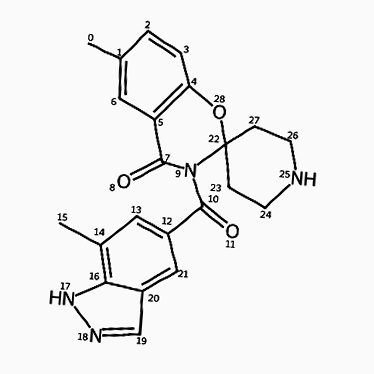 Cc1ccc2c(c1)C(=O)N(C(=O)c1cc(C)c3[nH]ncc3c1)C1(CCNCC1)O2